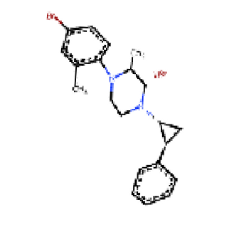 Br.Cc1cc(Br)ccc1N1CCN([C@@H]2C[C@H]2c2ccccc2)CC1C